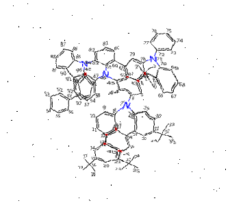 CC(C)(C)c1cc(N(c2cccc(-c3cc(C(C)(C)C)cc(C(C)(C)C)c3)c2)c2ccc(C(C)(C)C)cc2-c2ccccc2)cc(N(c2ccc(-c3ccccc3)cc2)c2c(-c3ccc4c5ccccc5n(-c5ccccc5)c4c3)cccc2-n2c3ccccc3c3ccccc32)c1